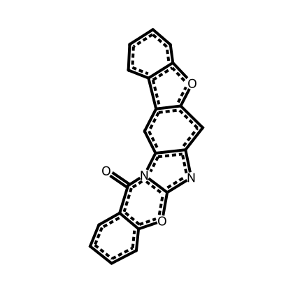 O=c1c2ccccc2oc2nc3cc4oc5ccccc5c4cc3n12